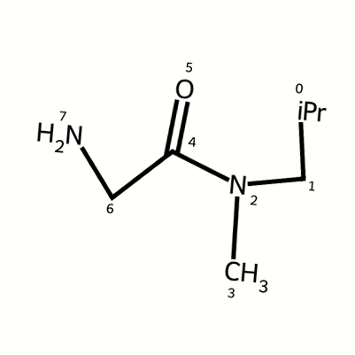 CC(C)CN(C)C(=O)CN